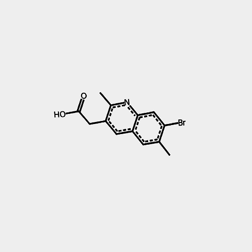 Cc1cc2cc(CC(=O)O)c(C)nc2cc1Br